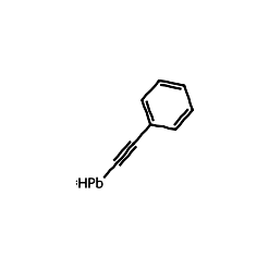 [PbH][C]#Cc1ccccc1